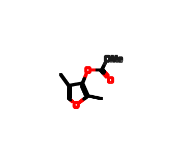 COC(=O)Oc1c(C)coc1C